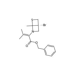 CC(C)=C(C(=O)OCc1ccccc1)N1C[C@]2(Br)CSC12C